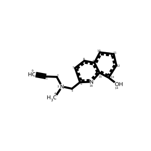 C#CCN(C)Cc1ccc2cccc(O)c2n1